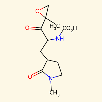 CN1CCC(CC(NC(=O)O)C(=O)C2(C)CO2)C1=O